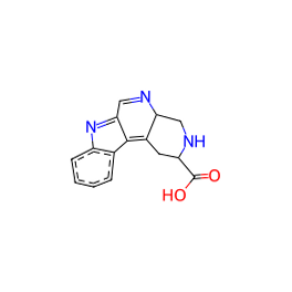 O=C(O)C1CC2=C3C(=Nc4ccccc43)C=NC2CN1